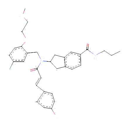 CCCNC(=O)c1ccc2c(c1)CC(N(Cc1cc(Cl)ccc1OCCOC)C(=O)/C=C/c1ccc(O)cc1)C2